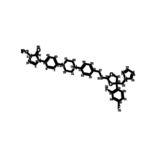 CC(C)n1ncn(-c2ccc(N3CCN(c4ccc(CSC5OCC(Cn6cncn6)(c6ccc(F)cc6F)O5)cc4)CC3)cc2)c1=O